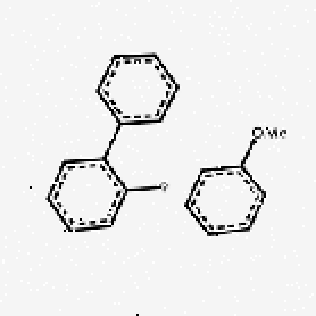 COc1ccccc1.Fc1ccccc1-c1ccccc1